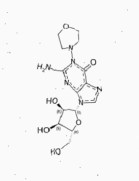 Nc1nc2c(ncn2[C@@H]2O[C@H](CO)[C@@H](O)[C@H]2O)c(=O)n1N1CCOCC1